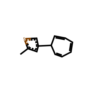 Cc1cc(C2C=CC=CC=C2)cs1